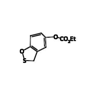 CCOC(=O)Oc1ccc2c(c1)CSO2